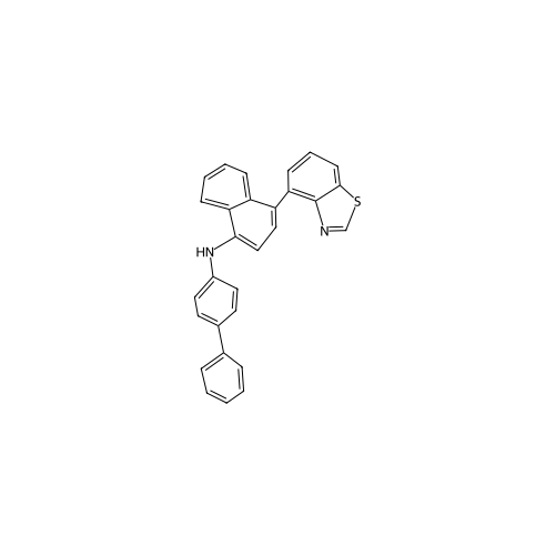 c1ccc(-c2ccc(Nc3ccc(-c4cccc5scnc45)c4ccccc34)cc2)cc1